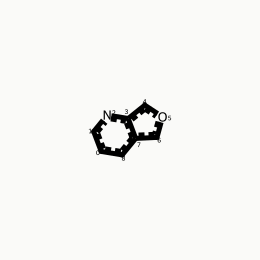 c1cnc2cocc2c1